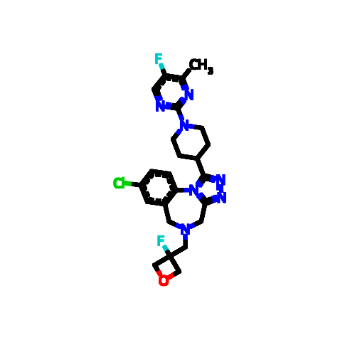 Cc1nc(N2CCC(c3nnc4n3-c3ccc(Cl)cc3CN(CC3(F)COC3)C4)CC2)ncc1F